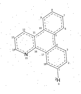 [2H]c1ccc2c3ccccc3c3cccnc3c2c1